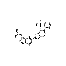 FC(F)Cn1ncc2ncc(N3CC4CCN(c5ncccc5C(F)(F)F)CC4C3)nc21